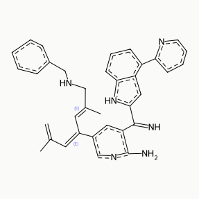 C=C(C)/C=C(\C=C(/C)CNCc1ccccc1)c1cnc(N)c(C(=N)c2cc3c(-c4ccccn4)cccc3[nH]2)c1